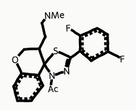 CNCCC1COc2ccccc2C12SC(c1cc(F)ccc1F)=NN2C(C)=O